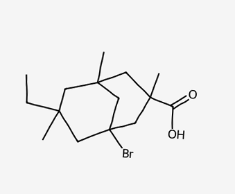 CCC1(C)CC2(C)CC(Br)(C1)CC(C)(C(=O)O)C2